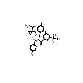 C[C@H](c1ccc(Cl)cn1)N1C(=O)c2cc(C(C)(C)O)cc(F)c2[C@]1(OCC1(C(N)=O)CC1)c1ccc(Cl)cc1